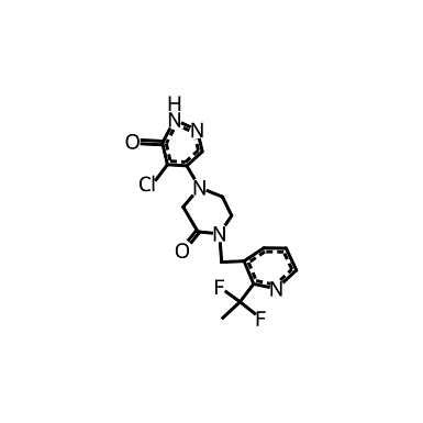 CC(F)(F)c1ncccc1CN1CCN(c2cn[nH]c(=O)c2Cl)CC1=O